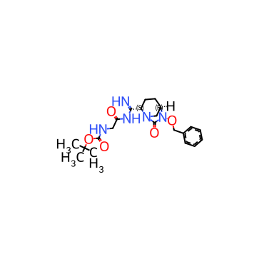 CC(C)(C)OC(=O)NCC(=O)NC(=N)[C@@H]1CC[C@@H]2CN1C(=O)N2OCc1ccccc1